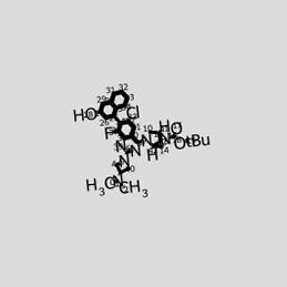 CN(C)C1CN(c2nc(N3C[C@H]4C[C@@H]3CN4C(=O)OC(C)(C)C)c3cc(Cl)c(-c4cc(O)cc5ccccc45)c(F)c3n2)C1